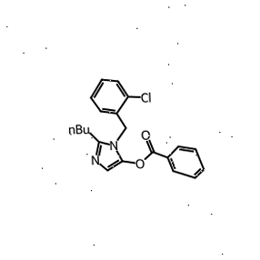 CCCCc1ncc(OC(=O)c2ccccc2)n1Cc1ccccc1Cl